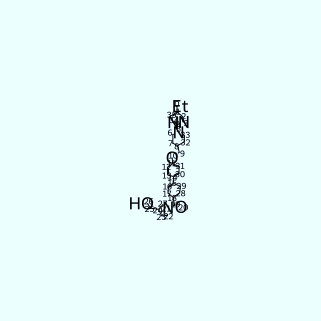 CCc1cnc(N2CCC(COc3ccc(C4=CCC(C(=O)N5CCC(CO)C5)CC4)cc3)CC2)nc1